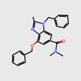 Cc1nc2c(OCc3ccccc3)cc(C(=O)N(C)C)cc2n1Cc1ccccc1